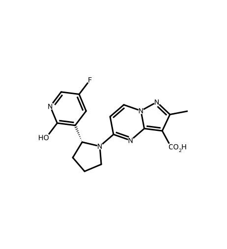 Cc1nn2ccc(N3CCC[C@@H]3c3cc(F)cnc3O)nc2c1C(=O)O